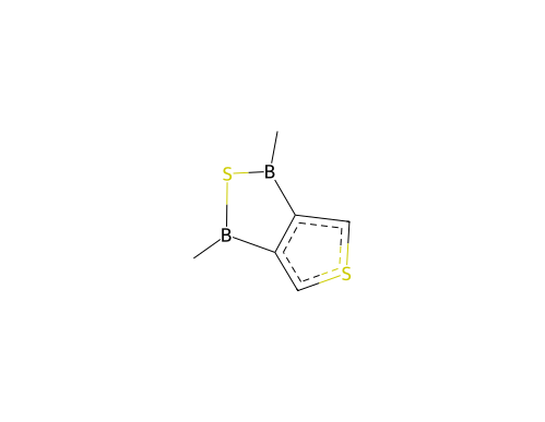 CB1SB(C)c2cscc21